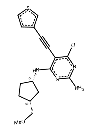 COC[C@@H]1CC[C@H](Nc2nc(N)nc(Cl)c2C#Cc2ccsc2)C1